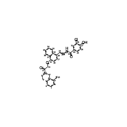 CCN(Cc1ccccc1F)C(=O)COc1ccc(/C=N/NC(=O)c2ccc(O)c(Cl)c2)c2ccccc12